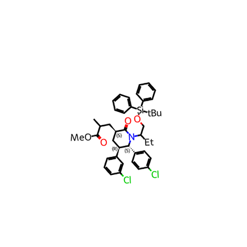 CCC(CO[Si](c1ccccc1)(c1ccccc1)C(C)(C)C)N1C(=O)[C@H](CC(C)C(=O)OC)C[C@H](c2cccc(Cl)c2)[C@H]1c1ccc(Cl)cc1